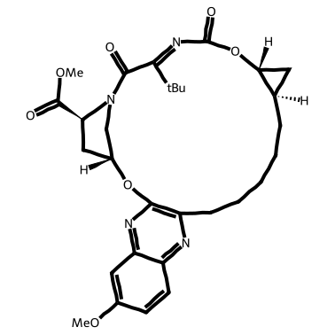 COC(=O)[C@@H]1C[C@@H]2CN1C(=O)/C(C(C)(C)C)=N/C(=O)O[C@@H]1C[C@H]1CCCCCc1nc3ccc(OC)cc3nc1O2